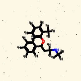 [2H]c1c([2H])c([2H])c(C(CC([2H])([2H])NC([2H])([2H])[2H])Oc2c([2H])c([2H])c([2H])c([2H])c2C([2H])([2H])[2H])c([2H])c1[2H]